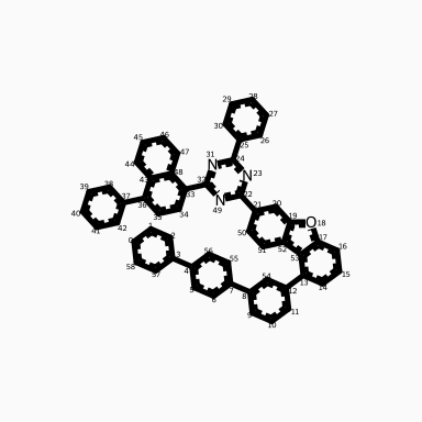 c1ccc(-c2ccc(-c3cccc(-c4cccc5oc6cc(-c7nc(-c8ccccc8)nc(-c8ccc(-c9ccccc9)c9ccccc89)n7)ccc6c45)c3)cc2)cc1